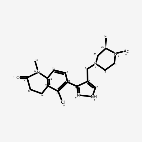 CC(=O)N1CCN(Cc2c[nH]nc2-c2ccc3c(c2Cl)CCC(=O)N3C)C[C@H]1C